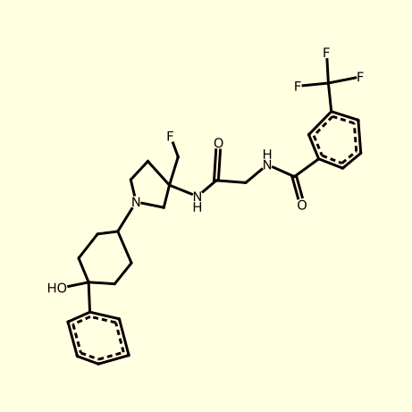 O=C(CNC(=O)c1cccc(C(F)(F)F)c1)NC1(CF)CCN(C2CCC(O)(c3ccccc3)CC2)C1